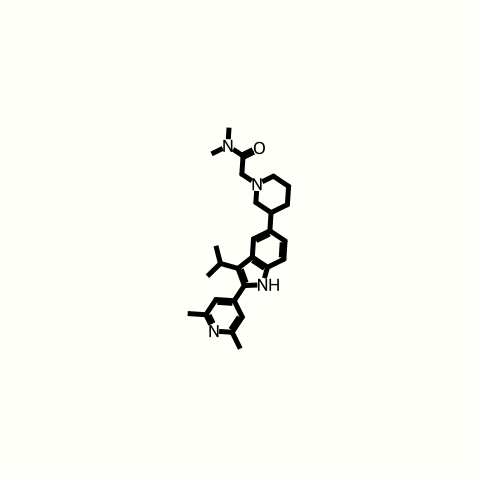 Cc1cc(-c2[nH]c3ccc(C4CCCN(CC(=O)N(C)C)C4)cc3c2C(C)C)cc(C)n1